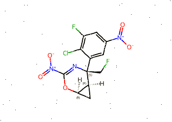 O=[N+]([O-])C1=N[C@](CF)(c2cc([N+](=O)[O-])cc(F)c2Cl)[C@H]2C[C@H]2O1